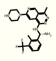 Cc1c([C@@H](N)Nc2nnc(C)c3cnc(N4CCNCC4)cc23)cccc1C(F)(F)F